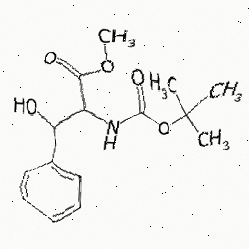 COC(=O)C(NC(=O)OC(C)(C)C)C(O)c1ccccc1